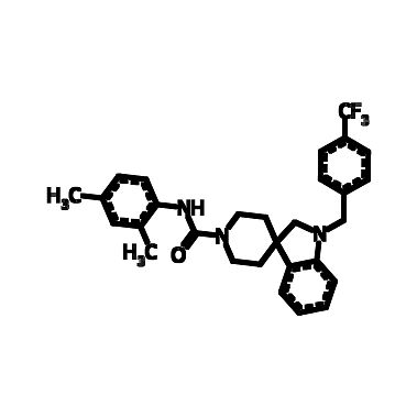 Cc1ccc(NC(=O)N2CCC3(CC2)CN(Cc2ccc(C(F)(F)F)cc2)c2ccccc23)c(C)c1